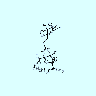 C=COC(=O)C(OCCCC(F)(F)C(F)(F)S(=O)(=O)O)(OC(=O)C(=C)C)C(F)(F)F